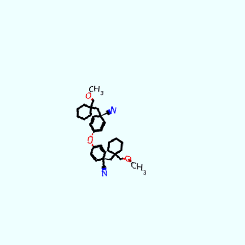 COCC1(C[C@]2(C#N)C=C[C@H](O[C@H]3C=C[C@@](C#N)(CC4(COC)CCCCC4)C=C3)C=C2)CCCCC1